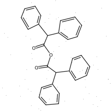 O=C(OC(=O)C(c1ccccc1)c1ccccc1)C(c1ccccc1)c1ccccc1